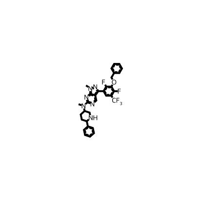 CN(c1ncc2c(-c3cc(C(F)(F)F)c(F)c(OCc4ccccc4)c3F)nn(C)c2n1)C1CCC(c2ccccc2)NC1